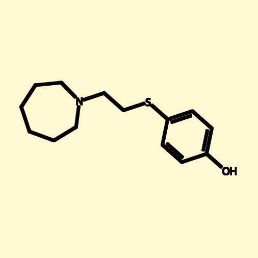 Oc1ccc(SCCN2CCCCCC2)cc1